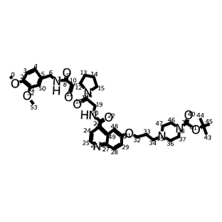 COc1ccc(CNC(=O)C(=O)[C@@H]2CCCN2C(=O)CNC(=O)c2ccnc3ccc(OCCCN4CCN(C(=O)OC(C)(C)C)CC4)cc23)cc1OC